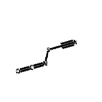 N#CSN=C=O